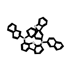 c1ccc(N(c2ccc3ccccc3c2)c2cccc3c2oc2c(N(c4ccc5ccccc5c4)c4ccc5oc6ccccc6c5c4)cccc23)cc1